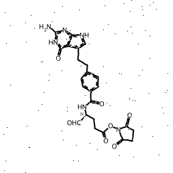 Nc1nc2[nH]cc(CCc3ccc(C(=O)N[C@H](C=O)CCC(=O)ON4C(=O)CCC4=O)cc3)c2c(=O)[nH]1